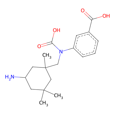 CC1(C)CC(N)CC(C)(CN(C(=O)O)c2cccc(C(=O)O)c2)C1